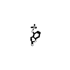 C[Si](C)(C)Oc1cccc2oc(=O)ccc12